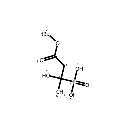 CC(C)(C)OC(=O)CC(C)(O)P(=O)(O)O